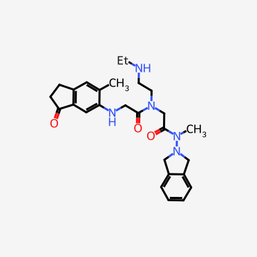 CCNCCN(CC(=O)N(C)N1Cc2ccccc2C1)C(=O)CNc1cc2c(cc1C)CCC2=O